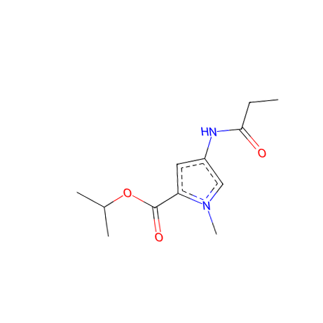 CCC(=O)Nc1cc(C(=O)OC(C)C)n(C)c1